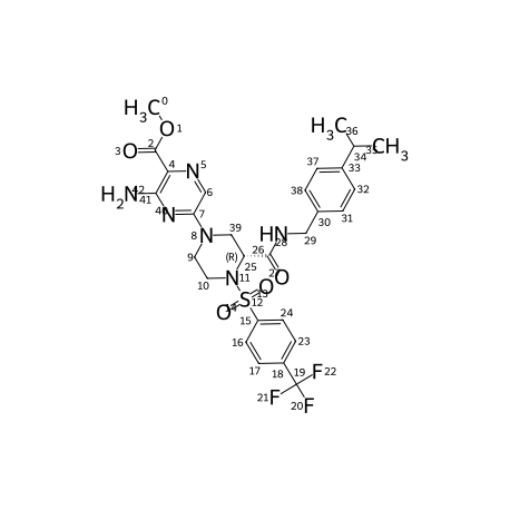 COC(=O)c1ncc(N2CCN(S(=O)(=O)c3ccc(C(F)(F)F)cc3)[C@@H](C(=O)NCc3ccc(C(C)C)cc3)C2)nc1N